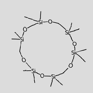 C[Si]1(C)CO[Si](C)(C)O[Si](C)(C)CO[Si](C)(C)O[Si](C)(C)CO[Si](C)(C)O1